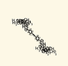 CC(C)(C)OC(=O)NC(C(=O)NCC(=O)c1ccc(C#Cc2ccc(C(=O)CNC(=O)[C@@H](NC(=O)OC(C)(C)C)C(C)(C)C)cc2)cc1)C(C)(C)C